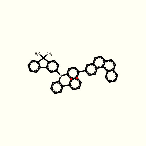 CC1(C)c2ccccc2-c2cc(N(c3ccc(-c4ccc5c(ccc6ccc7ccccc7c65)c4)cc3)c3ccccc3-c3ccccc3)ccc21